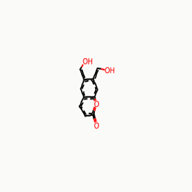 O=c1ccc2cc(=CO)c(=CO)cc2o1